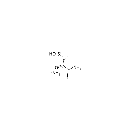 C[C@H](N)C(=O)OS(=O)(=O)O.N